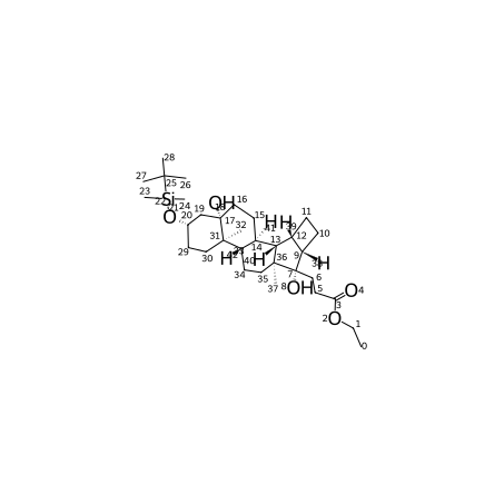 CCOC(=O)CC[C@]1(O)[C@H]2CC[C@H]2[C@H]2[C@@H]3CC[C@]4(O)C[C@@H](O[Si](C)(C)C(C)(C)C)CC[C@]4(C)[C@H]3CC[C@@]21C